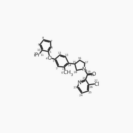 Cc1cc(Oc2ccccc2C(C)C)ccc1C1CCN(C(=O)c2ncccc2Cl)C1